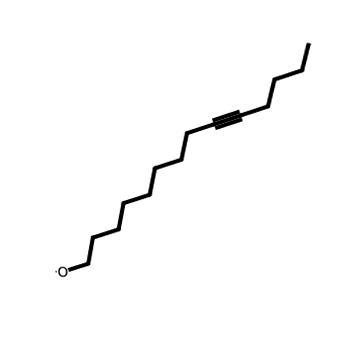 CCCCC#CCCCCCCCC[O]